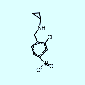 O=[N+]([O-])c1ccc(CNC2CC2)c(Cl)c1